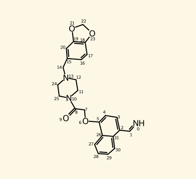 N=Cc1ccc(OCC(=O)N2CCN(Cc3ccc4c(c3)OCO4)CC2)c2ccccc12